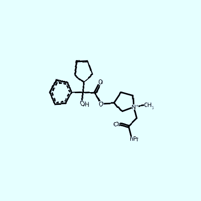 CCCC(=O)C[N+]1(C)CCC(OC(=O)C(O)(c2ccccc2)C2CCCC2)C1